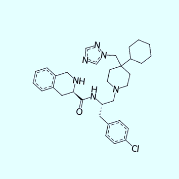 O=C(N[C@@H](Cc1ccc(Cl)cc1)CN1CCC(Cn2cncn2)(C2CCCCC2)CC1)[C@H]1Cc2ccccc2CN1